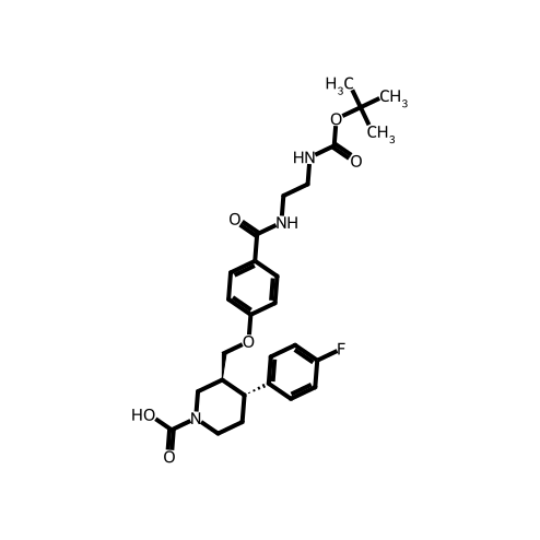 CC(C)(C)OC(=O)NCCNC(=O)c1ccc(OC[C@@H]2CN(C(=O)O)CC[C@H]2c2ccc(F)cc2)cc1